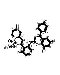 CC(C)NS(=O)(=O)N1CCNCC1CCc1c(F)cncc1NC(=O)C[C@@H](c1ccc(F)cc1)c1cc(F)cc(F)c1